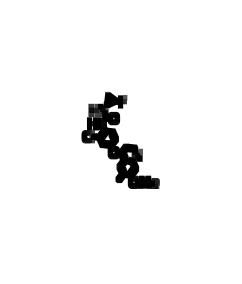 COc1cc2nccc(Oc3ccc(NC(=O)NC4CC4F)c(Cl)c3)c2cc1C